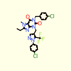 CCc1nc2c(c(=O)n(Cc3ccc(Cl)cc3)c(=O)n2Cc2cnn(-c3ccc(Cl)cc3)c2C(F)(F)F)n1C